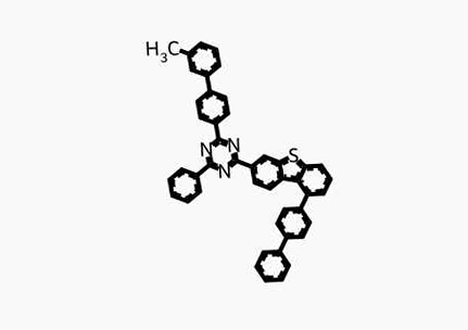 Cc1cccc(-c2ccc(-c3nc(-c4ccccc4)nc(-c4ccc5c(c4)sc4cccc(-c6ccc(-c7ccccc7)cc6)c45)n3)cc2)c1